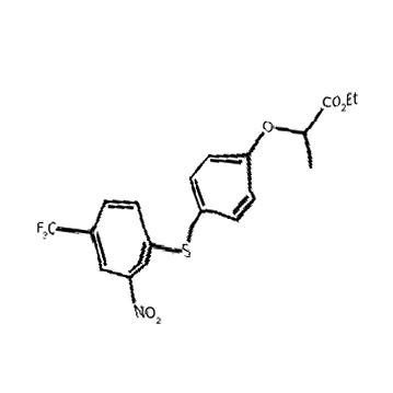 CCOC(=O)C(C)Oc1ccc(Sc2ccc(C(F)(F)F)cc2[N+](=O)[O-])cc1